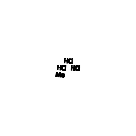 Cl.Cl.Cl.[Mo]